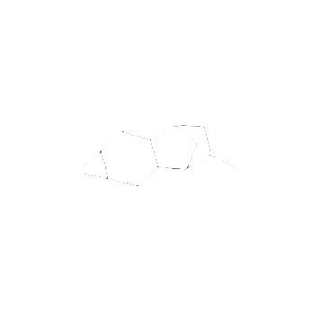 CC1CC2CC1C1CC3OC3CC21